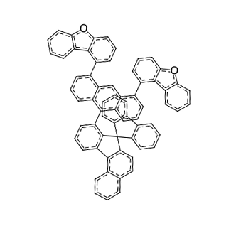 c1ccc2c(c1)-c1ccccc1C21c2ccc3ccccc3c2-c2cccc(-c3c4cccc(-c5cccc6oc7ccccc7c56)c4cc4c(-c5cccc6oc7ccccc7c56)cccc34)c21